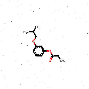 CCC(=O)Oc1cccc(OCC(C)C)c1